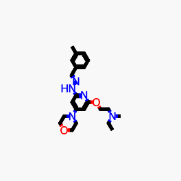 CCN(C)CCOc1cc(N2CCOCC2)cc(NN=Cc2cccc(C)c2)n1